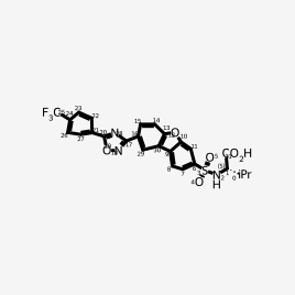 CC(C)[C@H](NS(=O)(=O)c1ccc2c(c1)oc1ccc(-c3noc(-c4ccc(C(F)(F)F)cc4)n3)cc12)C(=O)O